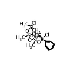 C[Si](C)(Cl)O[Si](C)(C)O[Si](C)(C)O[Si](C)(Cl)c1ccccc1